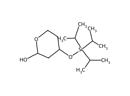 CC(C)[Si](OC1CCOC(O)C1)(C(C)C)C(C)C